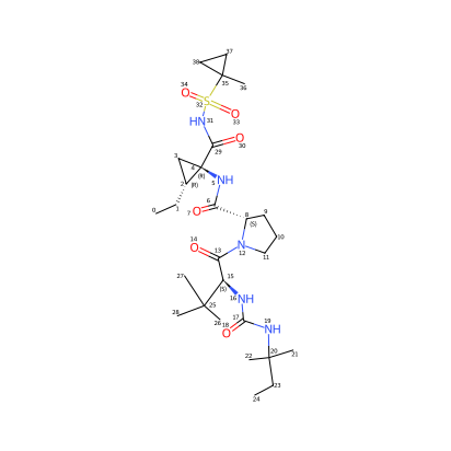 CC[C@@H]1C[C@]1(NC(=O)[C@@H]1CCCN1C(=O)[C@@H](NC(=O)NC(C)(C)CC)C(C)(C)C)C(=O)NS(=O)(=O)C1(C)CC1